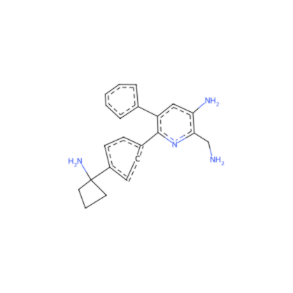 NCc1nc(-c2ccc(C3(N)CCC3)cc2)c(-c2ccccc2)cc1N